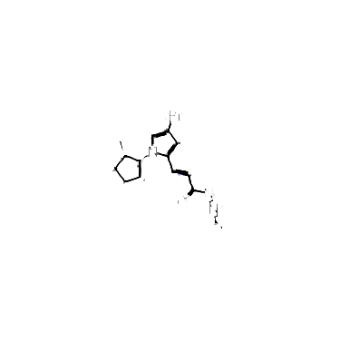 C[C@@H]1CCC[C@@H]1n1cc(Br)cc1/C=C/C(=O)N=[N+]=[N-]